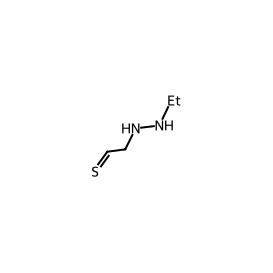 CCNNCC=S